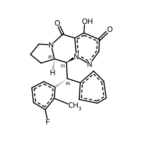 Cc1c(F)cccc1[C@@H](c1ccccc1)[C@H]1[C@H]2CCCN2C(=O)c2c(O)c(=O)cnn21